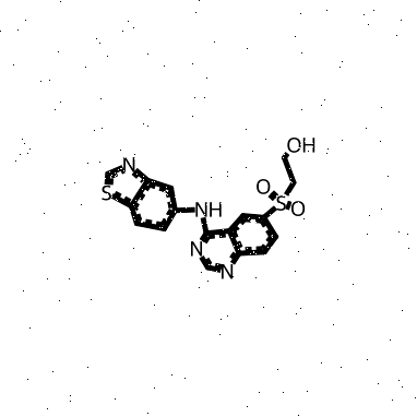 O=S(=O)(CCO)c1ccc2ncnc(Nc3ccc4scnc4c3)c2c1